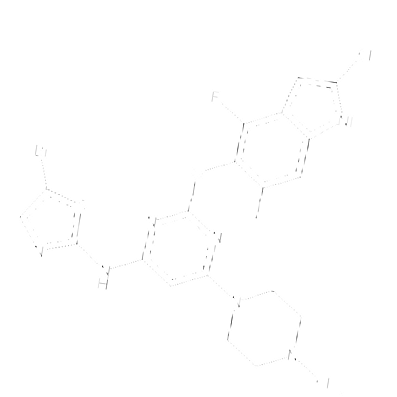 Cc1cc2c(F)c(Oc3nc(Nc4ncc(Br)s4)cc(N4CCN(C)CC4)n3)c(F)cc2[nH]1